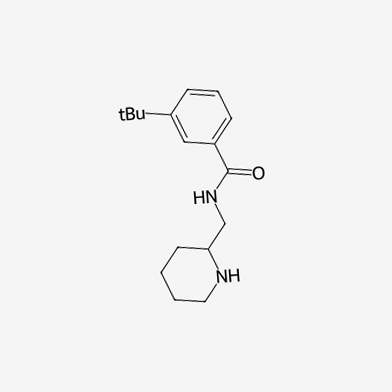 CC(C)(C)c1cccc(C(=O)NCC2CCCCN2)c1